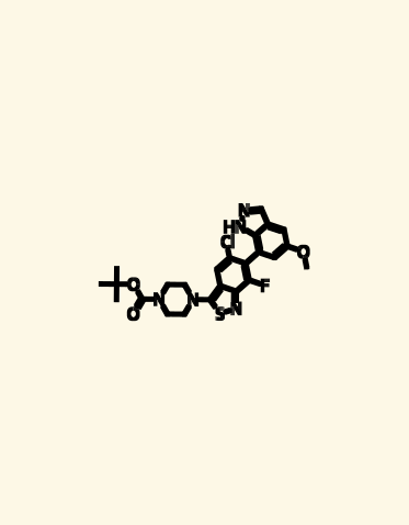 COc1cc(-c2c(Cl)cc3c(N4CCN(C(=O)OC(C)(C)C)CC4)snc3c2F)c2[nH]ncc2c1